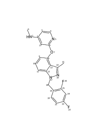 CNc1ccnc(Oc2cccc3c2c(C)nn3Cc2ccc(F)cc2F)c1